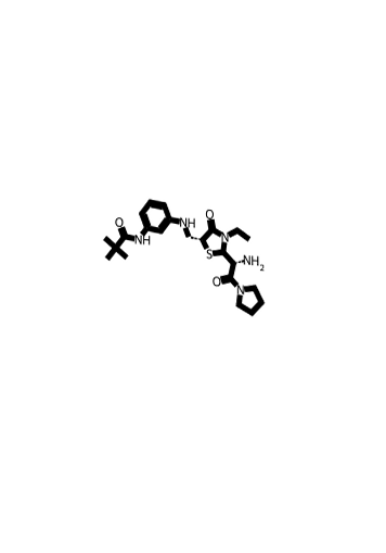 CCN1C(=O)[C@@H](CNc2cccc(NC(=O)C(C)(C)C)c2)SC1[C@H](N)C(=O)N1CCCC1